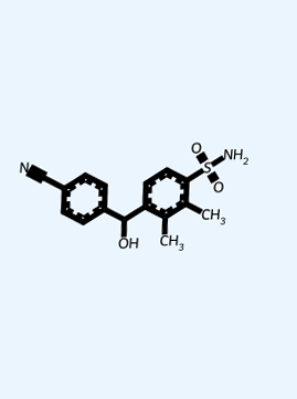 Cc1c(C(O)c2ccc(C#N)cc2)ccc(S(N)(=O)=O)c1C